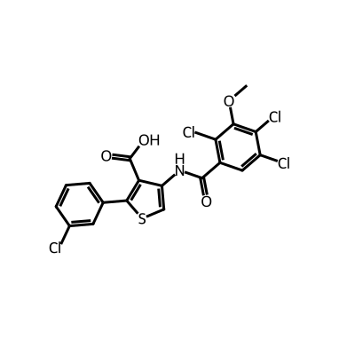 COc1c(Cl)c(Cl)cc(C(=O)Nc2csc(-c3cccc(Cl)c3)c2C(=O)O)c1Cl